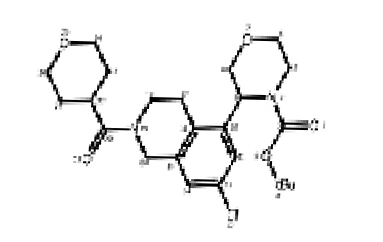 CC(C)(C)OC(=O)N1CCOCC1c1cc(Cl)cc2c1CCN(C(=O)C1CCOCC1)C2